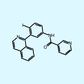 O=C(Nc1ccc(I)c(-c2nccc3ccccc23)c1)c1cccnc1